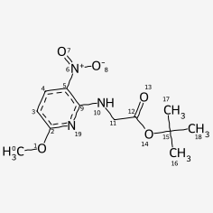 COc1ccc([N+](=O)[O-])c(NCC(=O)OC(C)(C)C)n1